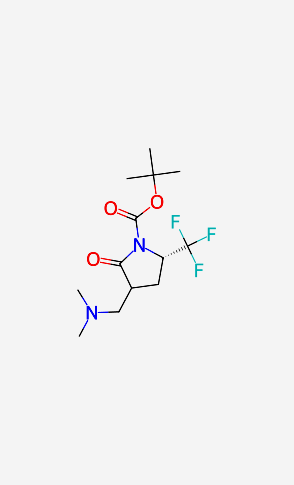 CN(C)CC1C[C@@H](C(F)(F)F)N(C(=O)OC(C)(C)C)C1=O